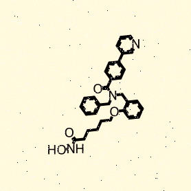 O=C(CCCCCOc1ccccc1CN(Cc1ccccc1)C(=O)c1ccc(-c2cccnc2)cc1)NO